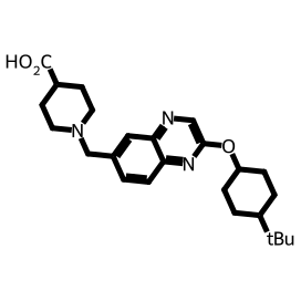 CC(C)(C)C1CCC(Oc2cnc3cc(CN4CCC(C(=O)O)CC4)ccc3n2)CC1